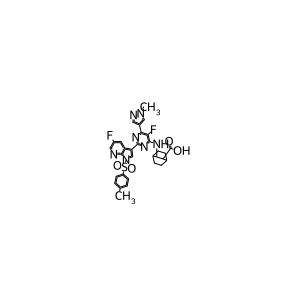 Cc1ccc(S(=O)(=O)n2cc(-c3nc(NC4C5CCC(CC5)C4C(=O)O)c(F)c(-c4cnn(C)c4)n3)c3cc(F)cnc32)cc1